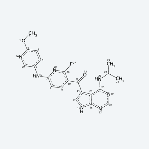 COc1ccc(Nc2ccc(C(=O)c3c[nH]c4ncnc(NC(C)C)c34)c(F)n2)cn1